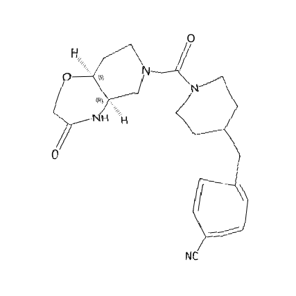 N#Cc1ccc(CC2CCN(C(=O)N3CC[C@@H]4OCC(=O)N[C@@H]4C3)CC2)cc1